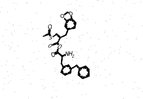 CC(=O)SCC(Cc1ccc2c(c1)OCO2)C(=O)OC(=O)C(N)Cc1cccc(Cc2ccccc2)c1